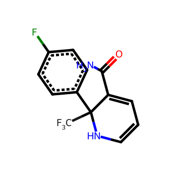 NC(=O)C1=CC=CNC1(c1ccc(F)cc1)C(F)(F)F